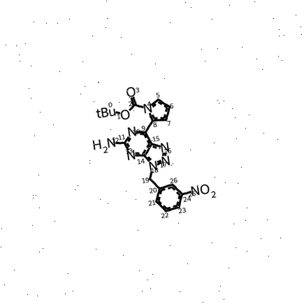 CC(C)(C)OC(=O)n1cccc1-c1nc(N)nc2c1nnn2Cc1cccc([N+](=O)[O-])c1